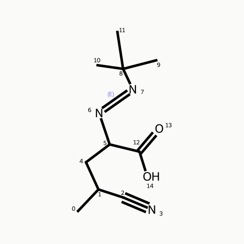 CC(C#N)CC(/N=N/C(C)(C)C)C(=O)O